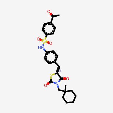 CC(=O)c1ccc(S(=O)(=O)Nc2ccc(/C=C3\SC(=O)N(CC4(C)CCCCC4)C3=O)cc2)cc1